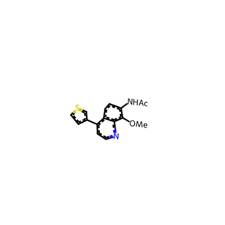 COc1c(NC(C)=O)ccc2c(-c3ccsc3)ccnc12